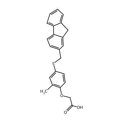 Cc1cc(SCc2ccc3c(c2)Cc2ccccc2-3)ccc1OCC(=O)O